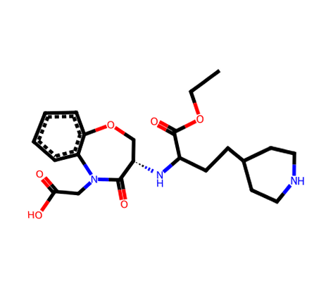 CCOC(=O)C(CCC1CCNCC1)N[C@H]1COc2ccccc2N(CC(=O)O)C1=O